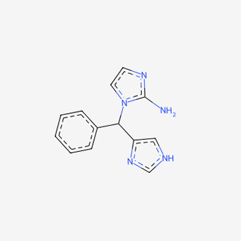 Nc1nccn1C(c1ccccc1)c1c[nH]cn1